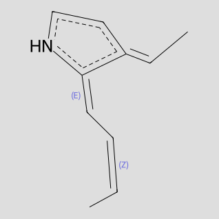 CC=c1cc[nH]/c1=C/C=C\C